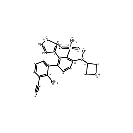 N#Cc1cccc(-c2ccc([S+]([O-])C3CNC3)c(S(N)(=O)=O)c2-c2nn[nH]n2)c1N